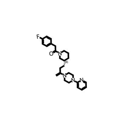 C=C(CC[C@H]1CCCN(C(=O)Cc2ccc(F)cc2)C1)N1CCN(c2ccccn2)CC1